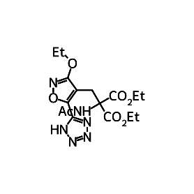 CCOC(=O)C(Cc1c(OCC)noc1-c1nnn[nH]1)(NC(C)=O)C(=O)OCC